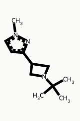 Cn1ccc(C2CN(C(C)(C)C)C2)n1